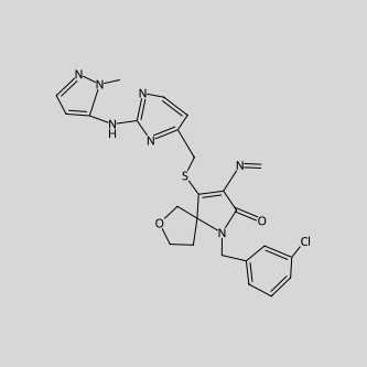 C=NC1=C(SCc2ccnc(Nc3ccnn3C)n2)C2(CCOC2)N(Cc2cccc(Cl)c2)C1=O